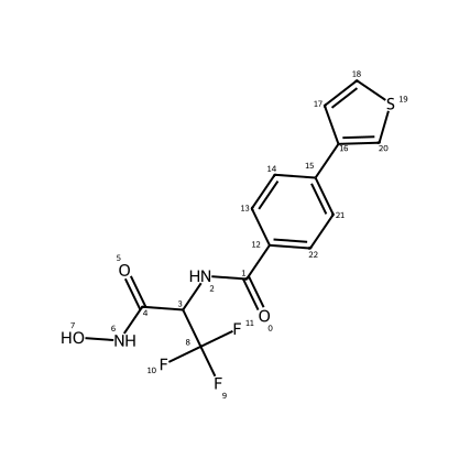 O=C(NC(C(=O)NO)C(F)(F)F)c1ccc(-c2ccsc2)cc1